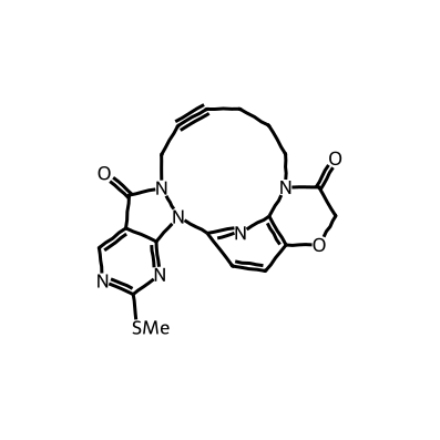 CSc1ncc2c(=O)n3n(c2n1)-c1ccc2c(n1)N(CCCC#CC3)C(=O)CO2